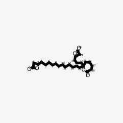 O=C1CC(CCCCCCCCCCCCC2(CCCC3CC(=O)O3)CCCCC(=O)O2)O1